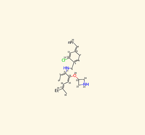 C\C=C(NCC1=CC/C(=C/CCC)C=C1Cl)/C(=C\C=C(/C)CC)OC1CNC1